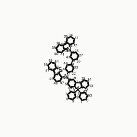 c1ccc(C2(c3ccccc3)c3ccccc3-c3cc(N(c4ccc(-c5cccc(-n6c7ccccc7c7ccccc76)c5)cc4)c4cccc5c4sc4ccccc45)ccc32)cc1